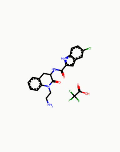 NCCN1C(=O)C(NC(=O)c2cc3cc(Cl)ccc3[nH]2)Cc2ccccc21.O=C(O)C(F)(F)F